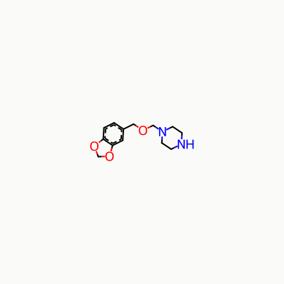 c1cc2c(cc1COCN1CCNCC1)OCO2